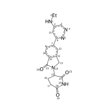 CCNc1cnnc(-c2ccc3c(c2)CN(C2CCC(=O)NC2=O)C3=O)c1